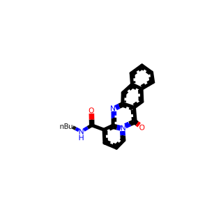 CCCCNC(=O)c1cccn2c(=O)c3cc4ccccc4cc3nc12